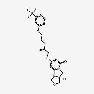 C=C(CCCOc1ccnc(C(F)(F)F)c1)COc1cc2n(c(=O)n1)C[C@H]1COCN21